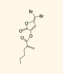 C=C(CCCC)C(=O)OC1=CC(=C(Br)Br)OC1=O